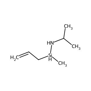 C=CC[SiH](C)NC(C)C